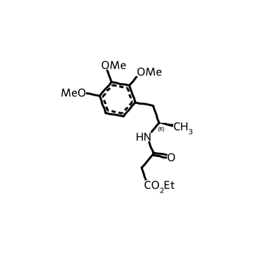 CCOC(=O)CC(=O)N[C@H](C)Cc1ccc(OC)c(OC)c1OC